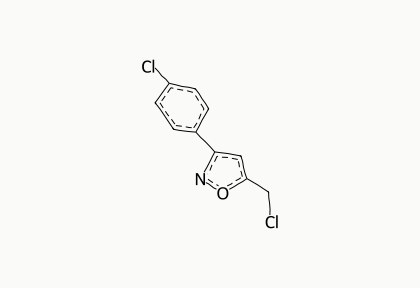 ClCc1cc(-c2ccc(Cl)cc2)no1